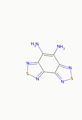 Nc1c(N)c2nsnc2c2nsnc12